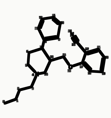 CCCCN1CCC(c2ccccc2)C(COc2ccccc2C#N)C1